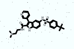 CN(C)CCNC(=O)c1[nH]c2ccc(NS(=O)(=O)c3ccc(C(C)(C)C)cc3)cc2c1-c1cccnc1